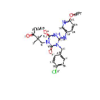 COC(=O)C(C)(C)Cn1c(=O)[nH]/c(=N\c2ccc(OC(C)C)nc2)n(Cc2ccc(Cl)cc2)c1=O